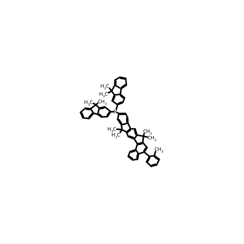 Cc1ccccc1-c1cc2c(c3ccccc13)-c1cc3c(cc1C2(C)C)-c1ccc(N(c2ccc4c(c2)C(C)(C)c2ccccc2-4)c2ccc4c(c2)C(C)(C)c2ccccc2-4)cc1C3(C)C